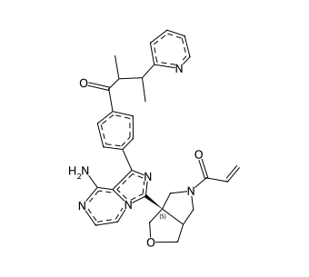 C=CC(=O)N1CC2COC[C@]2(c2nc(-c3ccc(C(=O)C(C)C(C)c4ccccn4)cc3)c3c(N)nccn23)C1